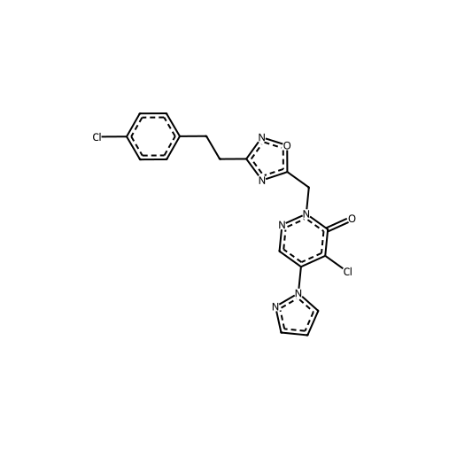 O=c1c(Cl)c(-n2cccn2)cnn1Cc1nc(CCc2ccc(Cl)cc2)no1